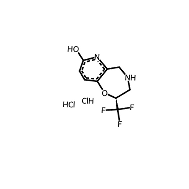 Cl.Cl.Oc1ccc2c(n1)CNC[C@@H](C(F)(F)F)O2